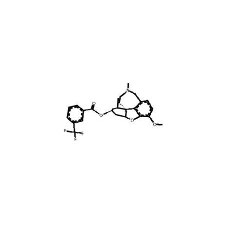 COc1ccc2c3c1OC1C[C@@H](OC(=O)c4cccc(C(F)(F)F)c4)CC(C)[C@@]31CCN(C)C2